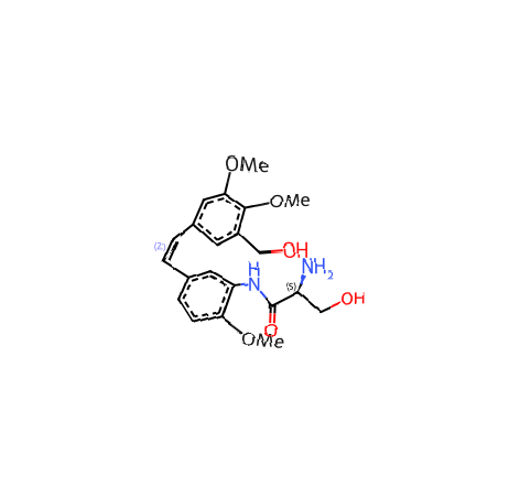 COc1ccc(/C=C\c2cc(CO)c(OC)c(OC)c2)cc1NC(=O)[C@@H](N)CO